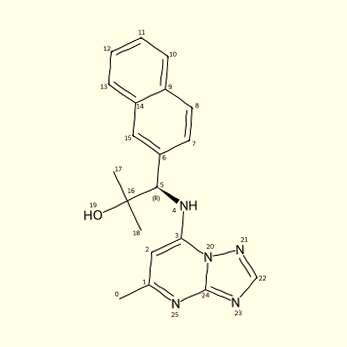 Cc1cc(N[C@H](c2ccc3ccccc3c2)C(C)(C)O)n2ncnc2n1